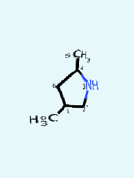 CC1[CH]NC(C)C1